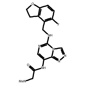 CNCC(=O)Nc1cnc(NCc2c(F)ccc3c2CCO3)n2cnnc12